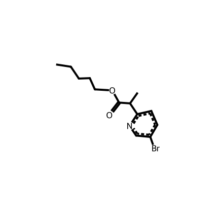 CCCCCOC(=O)C(C)c1ccc(Br)cn1